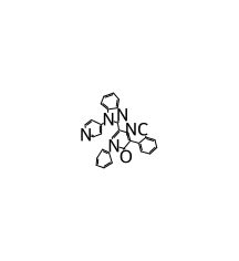 N#Cc1ccccc1-c1cc(-c2nc3ccccc3n2-c2ccncc2)cn(-c2ccccc2)c1=O